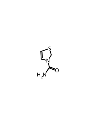 NC(=O)N1[CH]SC=C1